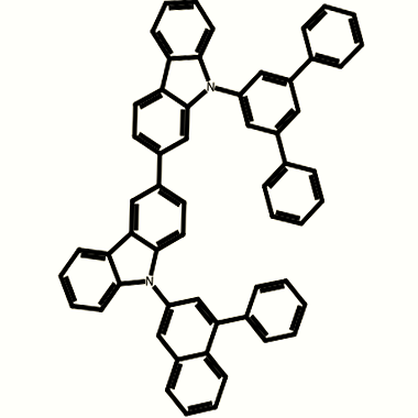 c1ccc(-c2cc(-c3ccccc3)cc(-n3c4ccccc4c4ccc(-c5ccc6c(c5)c5ccccc5n6-c5cc(-c6ccccc6)c6ccccc6c5)cc43)c2)cc1